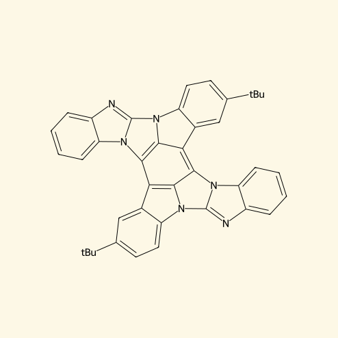 CC(C)(C)c1ccc2c(c1)c1c3c4c(c5cc(C(C)(C)C)ccc5n4c4nc5ccccc5n34)c3c1n2c1nc2ccccc2n31